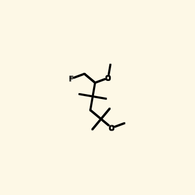 COC(CF)C(C)(C)CC(C)(C)OC